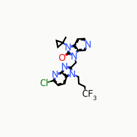 CC1(n2c(=O)n(Cc3nc4nc(Cl)ccc4n3CCCC(F)(F)F)c3cnccc32)CC1